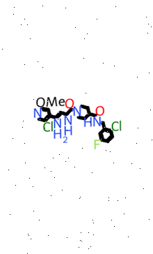 COc1cc(/C(N)=C/C(=N)C(=O)N2CCC(C(=O)NCc3cc(F)ccc3Cl)CC2)c(Cl)cn1